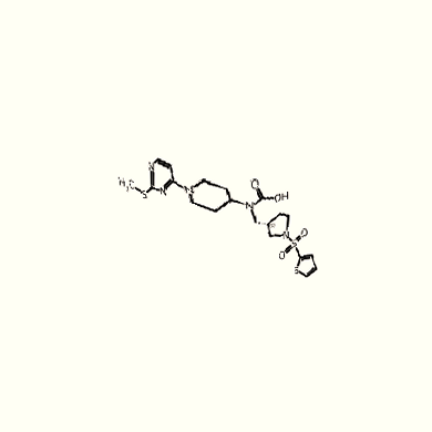 CSc1nccc(N2CCC(N(C[C@@H]3CCN(S(=O)(=O)c4cccs4)C3)C(=O)O)CC2)n1